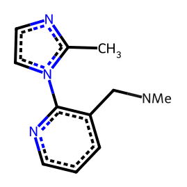 CNCc1cccnc1-n1ccnc1C